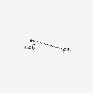 CC(C)COC(=O)CCCCCCCCCCCCCCCC(CCC(=O)OCC(C)C)C(C)C